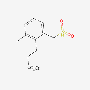 CCOC(=O)CCc1c(C)cccc1C[SH](=O)=O